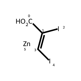 O=C(O)C(I)=CI.[Zn]